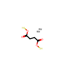 O=C(CCC(=O)OS)OS.[KH].[KH]